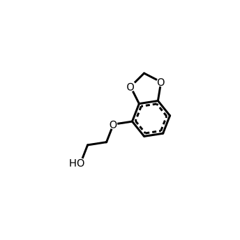 OCCOc1cccc2c1OCO2